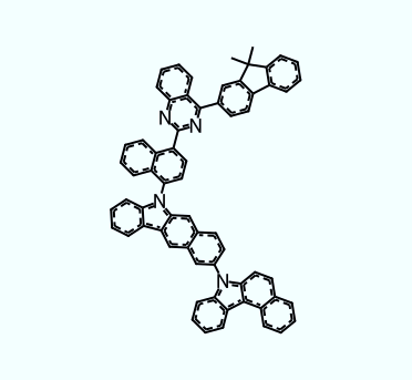 CC1(C)c2ccccc2-c2ccc(-c3nc(-c4ccc(-n5c6ccccc6c6cc7cc(-n8c9ccccc9c9c%10ccccc%10ccc98)ccc7cc65)c5ccccc45)nc4ccccc34)cc21